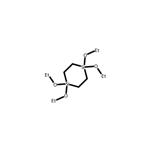 CCO[Si]1(OCC)CC[Si](OCC)(OCC)CC1